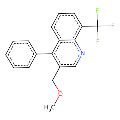 COCc1cnc2c(C(F)(F)F)cccc2c1-c1ccccc1